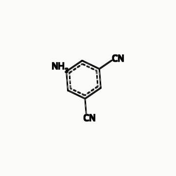 N.N#Cc1cccc(C#N)c1